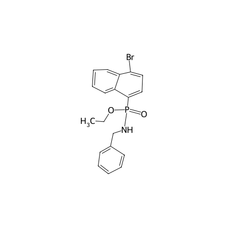 CCOP(=O)(NCc1ccccc1)c1ccc(Br)c2ccccc12